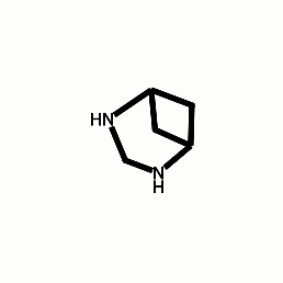 C1NC2CC(C2)N1